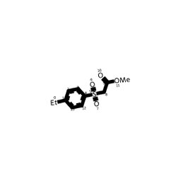 CCc1ccc(S(=O)(=O)CC(=O)OC)cc1